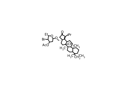 CCC1OC(OC[C@@]23CC[C@]4(C)C(CCC5[C@@]6(C)CC[C@H](C)C(C)(C)C6CC[C@]54C)C2=C(C(C)C)C(=O)C3)CC(OC(C)=O)C1Br